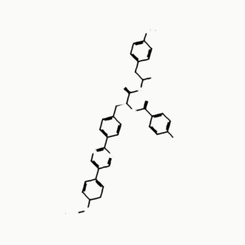 CCCCCCCOC1C=CC(c2cnc(-c3ccc(C[C@H](NC(=O)c4ccc(C(C)(C)C)cc4)C(=O)NC(Cc4ccc(OC)cc4)C(=O)O)cc3)nc2)=CC1